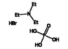 Br.CCN(CC)CC.O=P(O)(O)O